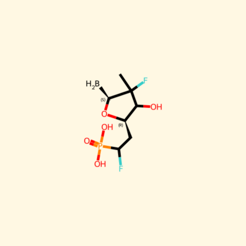 B[C@@H]1O[C@H](CC(F)P(=O)(O)O)C(O)C1(C)F